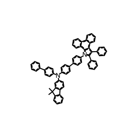 CC1(C)c2ccccc2-c2ccc(N(c3ccc(-c4ccccc4)cc3)c3ccc(-c4ccc(-n5c(-c6ccccc6)c(-c6ccccc6)c6c7ccccc7c7ccccc7c65)cc4)cc3)cc21